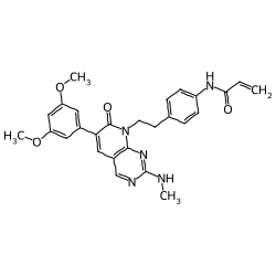 C=CC(=O)Nc1ccc(CCn2c(=O)c(-c3cc(OC)cc(OC)c3)cc3cnc(NC)nc32)cc1